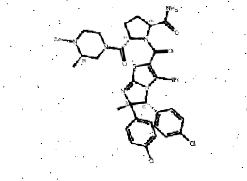 CC(=O)N1CCN(C(=O)[C@@H]2CC[C@@H](C(N)=O)N2C(=O)C2=C(C(C)C)N3C(=N[C@@](C)(c4ccc(Cl)cc4)[C@H]3c3ccc(Cl)cc3)S2)C[C@H]1C